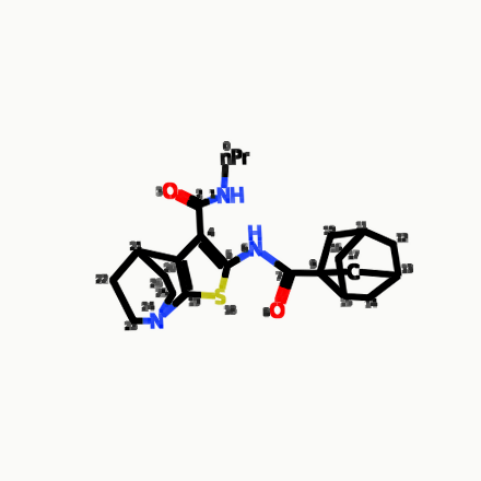 CCCNC(=O)c1c(NC(=O)C23CC4CC(CC2C4)C3)sc2c1C1CCN2CC1